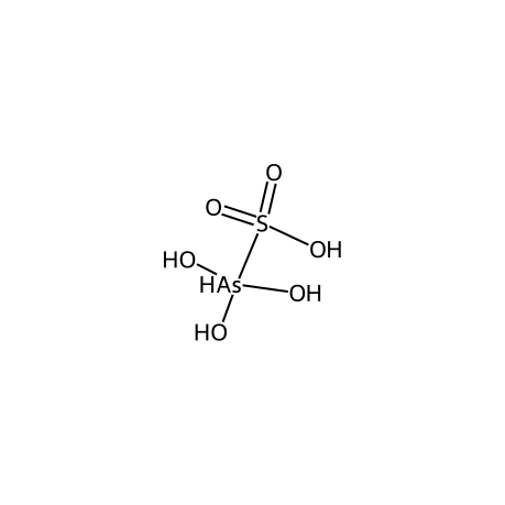 O=S(=O)(O)[AsH](O)(O)O